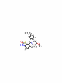 CCO[C@H]1CCN(Cc2c(OC)cc(C)c3[nH]c(=O)sc23)[C@H](c2ccc(C(=O)O)cc2)C1